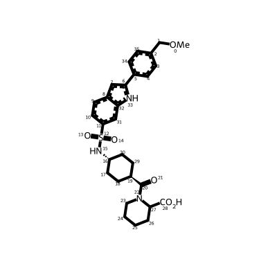 COCc1ccc(-c2cc3ccc(S(=O)(=O)N[C@H]4CC[C@H](C(=O)N5CCCCC5C(=O)O)CC4)cc3[nH]2)cc1